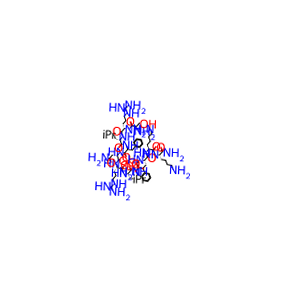 CC(C)C[C@H](NC(=O)[C@H](CCCNC(=N)N)NC(=O)[C@H](CC(N)=O)NC(=O)[C@H](Cc1ccccc1)NC(=O)[C@H](CC(C)C)NC(=O)[C@H](CCCNC(=N)N)NC(=O)[C@@H](N)CO)C(=O)N[C@@H](Cc1ccccc1)C(=O)N[C@@H](CCC(N)=O)C(=O)N[C@@H](CCCCN)C(=O)N[C@@H](CCCCN)C(N)=O